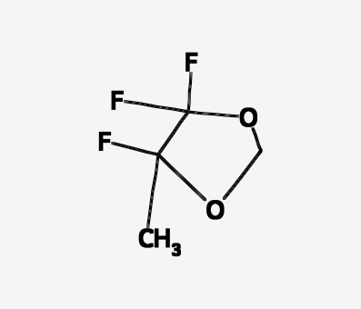 CC1(F)OCOC1(F)F